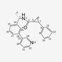 C[C@H](NC(=O)C1CC1c1ccccc1)c1cccc(-c2cccnc2)c1